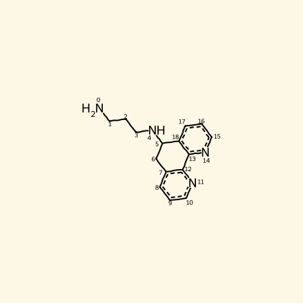 NCCCNC1Cc2cccnc2-c2ncccc21